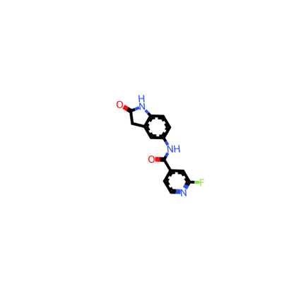 O=C1Cc2cc(NC(=O)c3ccnc(F)c3)ccc2N1